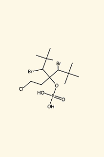 CC(C)(C)C(Br)C(CCCl)(OP(=O)(O)O)C(Br)C(C)(C)C